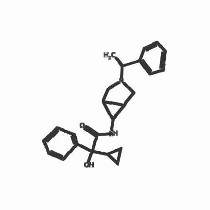 CC(c1ccccc1)N1CC2C(C1)C2NC(=O)C(O)(c1ccccc1)C1CC1